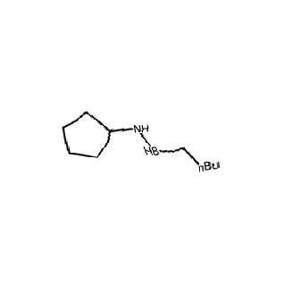 CCCCCBNC1CCCC1